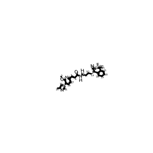 COc1nc(C=CC(=O)NNCCC[C@H](C#N)c2ccccc2C(F)(F)F)ccc1-n1cnc(C)c1